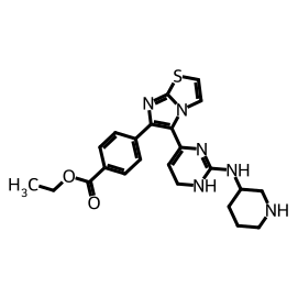 CCOC(=O)c1ccc(-c2nc3sccn3c2C2=CCNC(NC3CCCNC3)=N2)cc1